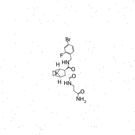 NC(=O)CCNC(=O)[C@H]1[C@H](C(=O)NCc2ccc(Br)cc2F)[C@@H]2C=C[C@H]1C21CC1